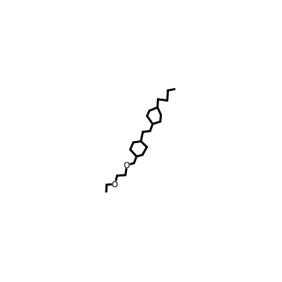 CCCCC1CCC(CCC2CCC(COCCOCC)CC2)CC1